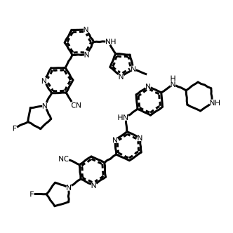 Cn1cc(Nc2nccc(-c3cnc(N4CCC(F)C4)c(C#N)c3)n2)cn1.N#Cc1cc(-c2ccnc(Nc3ccc(NC4CCNCC4)nc3)n2)cnc1N1CCC(F)C1